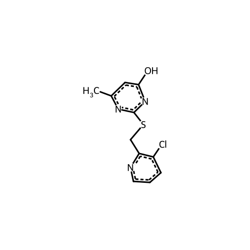 Cc1cc(O)nc(SCc2ncccc2Cl)n1